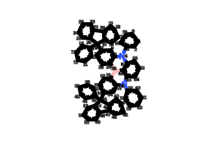 c1ccc(N2c3cc(C4(c5ccccc5)c5ccccc5-c5ccccc54)ccc3B3c4ccc(C5(c6ccccc6)c6ccccc6-c6ccccc65)cc4N(c4ccccc4)c4cccc2c43)cc1